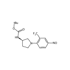 CC(C)(C)OC(=O)N[C@@H]1CCN(c2ccc(N=O)cc2C(F)(F)F)C1